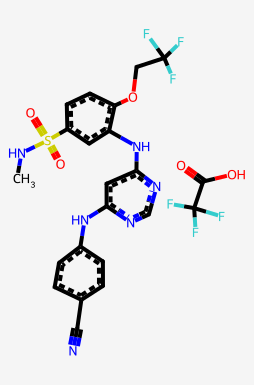 CNS(=O)(=O)c1ccc(OCC(F)(F)F)c(Nc2cc(Nc3ccc(C#N)cc3)ncn2)c1.O=C(O)C(F)(F)F